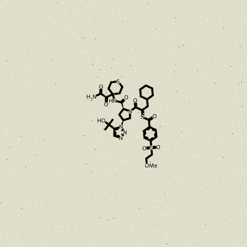 COCCS(=O)(=O)c1ccc(C(=O)/N=C(\CC2CCCCC2)C(=O)N2C[C@@H](n3nncc3C(C)(C)O)C[C@H]2C(=O)NC2(C(=O)C(N)=O)CCSCC2)cc1